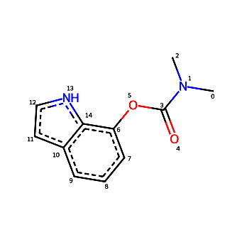 CN(C)C(=O)Oc1cccc2cc[nH]c12